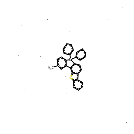 Cc1ccc2c(c1)-c1c(ccc3c1sc1ccccc13)[Si]2(c1ccccc1)c1ccccc1